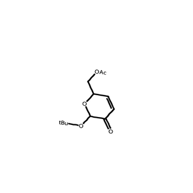 CC(=O)OCC1C=CC(=O)C(OC(C)(C)C)O1